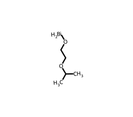 CC(C)OCC[O][BiH2]